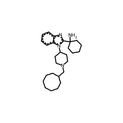 NC1(c2nc3ccccc3n2C2CCN(CC3CCCCCCC3)CC2)CCCCC1